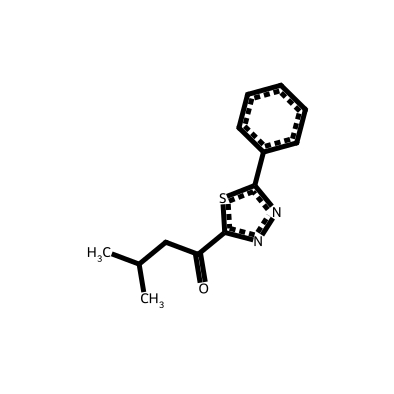 CC(C)CC(=O)c1nnc(-c2ccccc2)s1